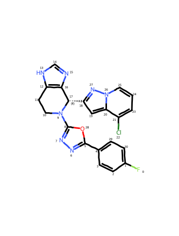 Fc1ccc(-c2nnc(N3CCc4[nH]cnc4[C@@H]3c3cc4c(Cl)cccn4n3)o2)cc1